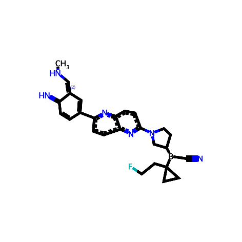 CN/C=C1/C=C(c2ccc3nc(N4CCC(B(C#N)C5(CCF)CC5)C4)ccc3n2)C=CC1=N